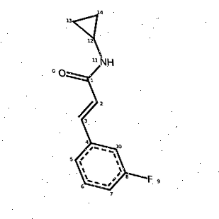 O=C(/C=C/c1cccc(F)c1)NC1CC1